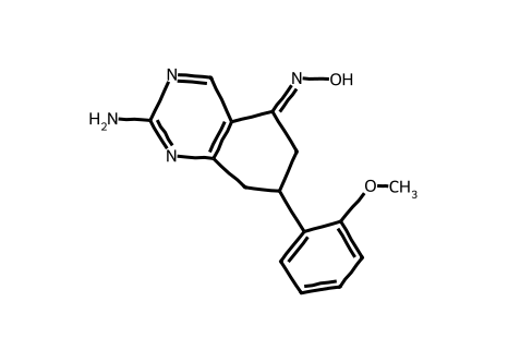 COc1ccccc1C1CC(=NO)c2cnc(N)nc2C1